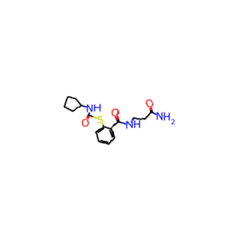 NC(=O)CCNC(=O)c1ccccc1SC(=O)NC1CCCC1